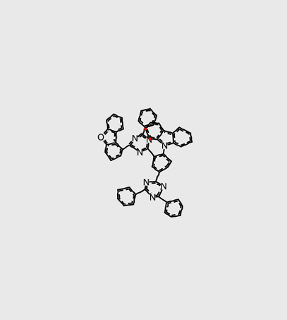 c1ccc(-c2nc(-c3ccccc3)nc(-c3ccc(-n4c5ccccc5c5ccccc54)c(-c4nc(-c5ccccc5)nc(-c5cccc6oc7ccccc7c56)n4)c3)n2)cc1